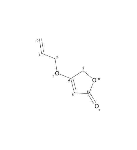 C=CCOC1=CC(=O)OC1